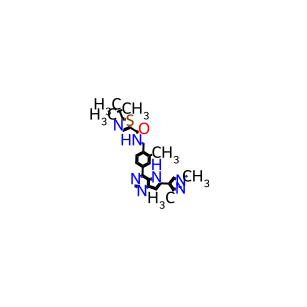 Cc1cc(-c2ncnc3cc(-c4cn(C)nc4C)[nH]c23)ccc1CNC(=O)c1cnc(C(C)(C)C)s1